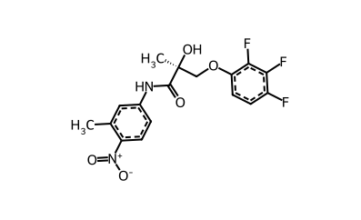 Cc1cc(NC(=O)[C@@](C)(O)COc2ccc(F)c(F)c2F)ccc1[N+](=O)[O-]